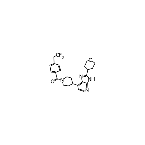 O=C(c1ccc(CC(F)(F)F)cc1)N1CCC(c2ccnc3[nH]c(C4CCOCC4)nc23)CC1